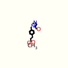 COC(=O)CCc1ccc(Cn2cncc2C=O)cc1